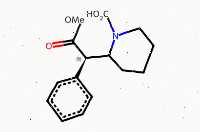 COC(=O)[C@H](c1ccccc1)C1CCCCN1C(=O)O